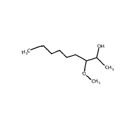 CCCCCCC(OC)C(C)O